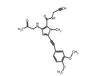 C#CCNC(=O)c1c(NCC(C)=O)nc(C#Cc2ccc(OC)c(OC)c2)n1C